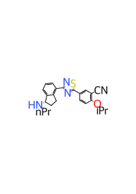 CCCN[C@H]1CCc2c(-c3nsc(-c4ccc(OC(C)C)c(C#N)c4)n3)cccc21